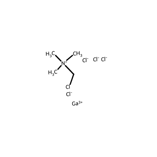 C[N+](C)(C)CCl.[Cl-].[Cl-].[Cl-].[Cl-].[Ga+3]